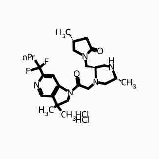 CCCC(F)(F)c1cc2c(cn1)C(C)(C)CN2C(=O)CN1C[C@@H](C)NC[C@@H]1CN1C[C@H](C)CC1=O.Cl.Cl